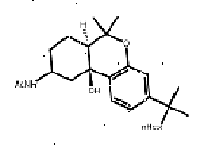 CCCCCCC(C)(C)c1ccc2c(c1)OC(C)(C)[C@@H]1CCC(NC(C)=O)C[C@@]21O